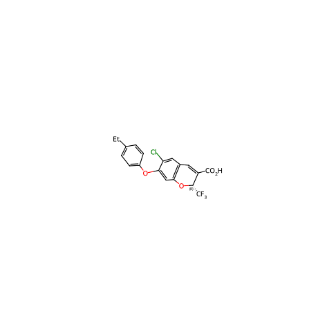 CCc1ccc(Oc2cc3c(cc2Cl)C=C(C(=O)O)[C@H](C(F)(F)F)O3)cc1